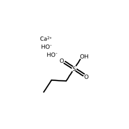 CCCS(=O)(=O)O.[Ca+2].[OH-].[OH-]